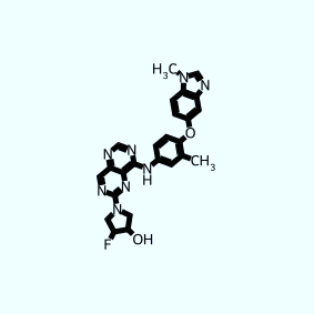 Cc1cc(Nc2ncnc3cnc(N4CC(O)C(F)C4)nc23)ccc1Oc1ccc2c(c1)ncn2C